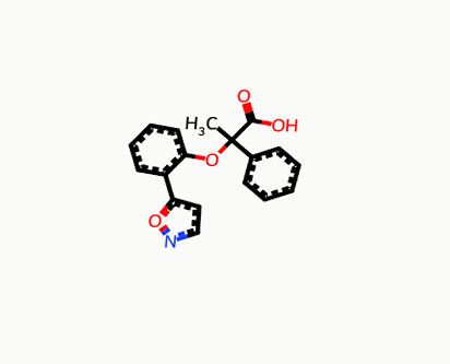 CC(Oc1ccccc1-c1ccno1)(C(=O)O)c1ccccc1